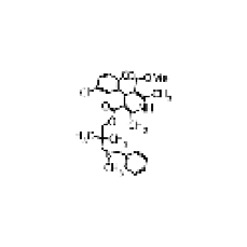 COC(=O)C1=C(C)NC(C)=C(C(=O)OCC(C)(C)CN(C)Cc2ccccc2)C1c1cc(Cl)ccc1Cl